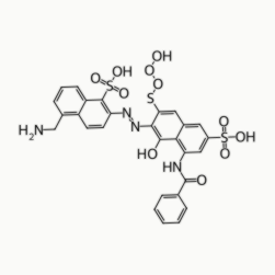 NCc1cccc2c(S(=O)(=O)O)c(N=Nc3c(SOOO)cc4cc(S(=O)(=O)O)cc(NC(=O)c5ccccc5)c4c3O)ccc12